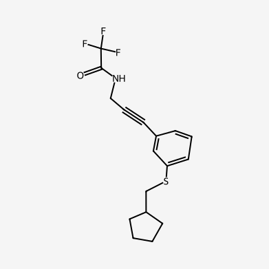 O=C(NCC#Cc1cccc(SCC2CCCC2)c1)C(F)(F)F